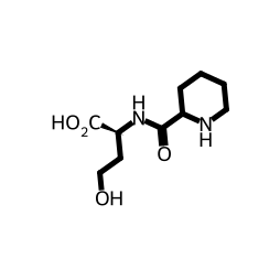 O=C(N[C@@H](CCO)C(=O)O)C1CCCCN1